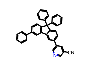 N#Cc1cncc(-c2ccc3c(c2)-c2cc(-c4ccccc4)ccc2C3(c2ccccc2)c2ccccc2)c1